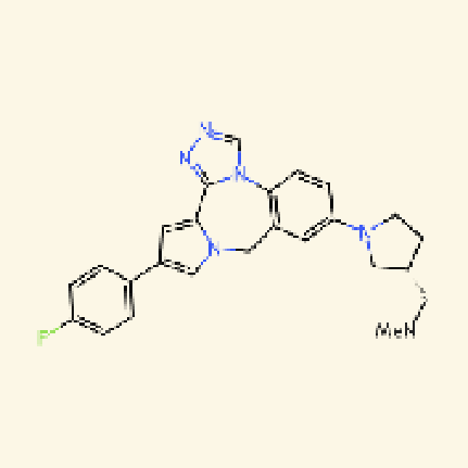 CNC[C@H]1CCN(c2ccc3c(c2)Cn2cc(-c4ccc(F)cc4)cc2-c2nncn2-3)C1